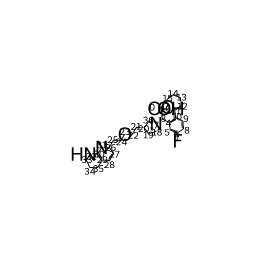 O=C(O)C(c1cc(F)ccc1[C@@H]1CCCCO1)N1CC[C@@H](CCOCCc2ccc3c(n2)NCCC3)C1